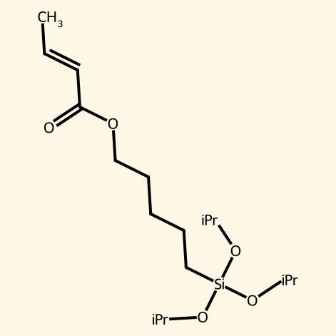 CC=CC(=O)OCCCCC[Si](OC(C)C)(OC(C)C)OC(C)C